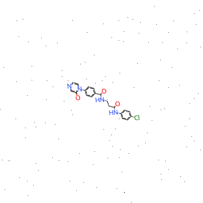 O=C(CCNC(=O)c1ccc(-n2ccncc2=O)cc1)Nc1ccc(Cl)cc1